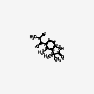 Cc1c(C(=O)C(C)Br)ccc2c1C(C)(C)C(=O)N2